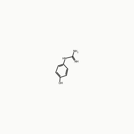 N=C(N)Nc1ccc(O)cc1